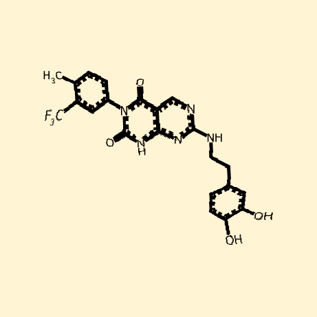 Cc1ccc(-n2c(=O)[nH]c3nc(NCCc4ccc(O)c(O)c4)ncc3c2=O)cc1C(F)(F)F